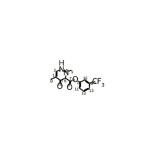 CC1=CNN(C)C(C(=O)Oc2cccc(C(F)(F)F)c2)C1=O